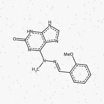 COc1ccccc1/C=N/N(C)c1nc(=O)[nH]c2[nH]cnc12